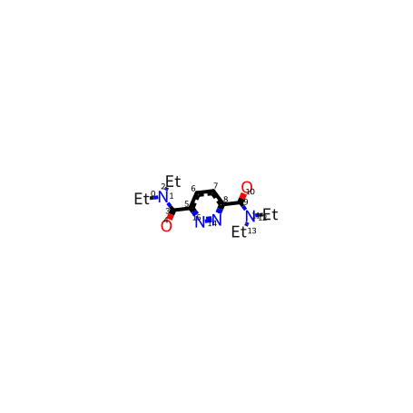 CCN(CC)C(=O)c1ccc(C(=O)N(CC)CC)nn1